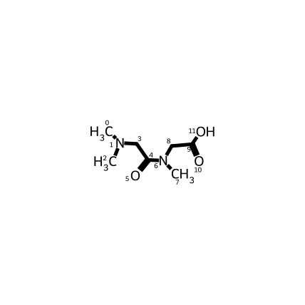 CN(C)CC(=O)N(C)CC(=O)O